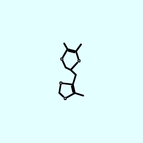 CC1=C(C)OC(CC2=C(C)OCO2)CO1